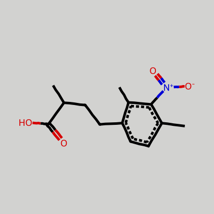 Cc1ccc(CCC(C)C(=O)O)c(C)c1[N+](=O)[O-]